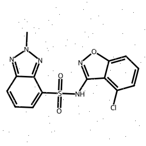 Cn1nc2cccc(S(=O)(=O)Nc3noc4cccc(Cl)c34)c2n1